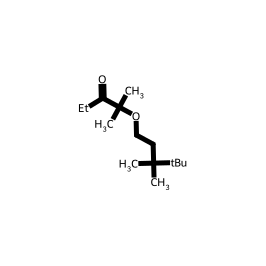 CCC(=O)C(C)(C)OCCC(C)(C)C(C)(C)C